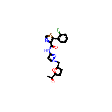 CC(=O)c1ccc(Cn2ccc(NC(=O)c3ncsc3-c3ccccc3F)n2)o1